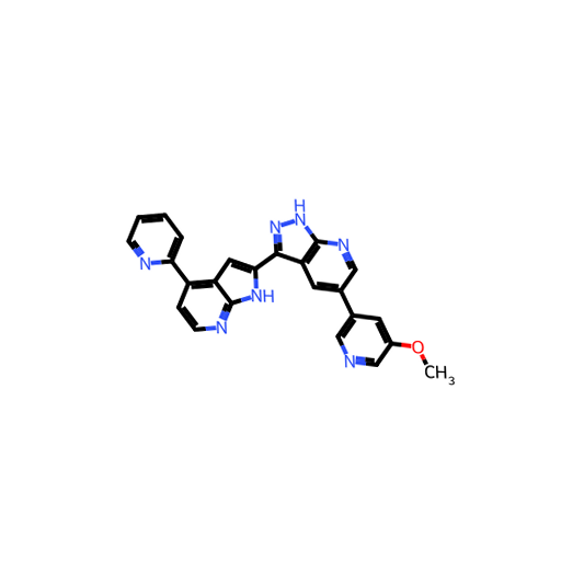 COc1cncc(-c2cnc3[nH]nc(-c4cc5c(-c6ccccn6)ccnc5[nH]4)c3c2)c1